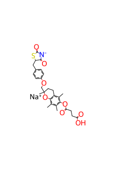 Cc1c(C)c2c(c(C)c1OC(=O)CCC(=O)O)CCC(C)(COc1ccc(CC3SC(=O)[N-]C3=O)cc1)O2.[Na+]